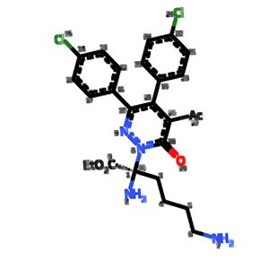 CCOC(=O)[C@@](N)(CCCCN)n1nc(-c2ccc(Cl)cc2)c(-c2ccc(Cl)cc2)c(C(C)=O)c1=O